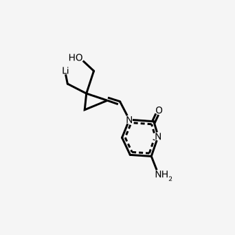 [Li][CH2]C1(CO)CC1=Cn1ccc(N)nc1=O